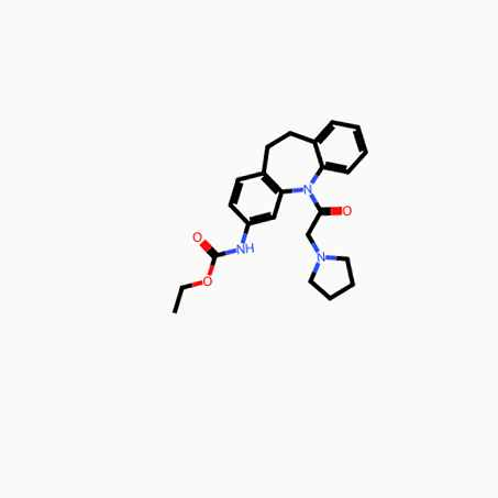 CCOC(=O)Nc1ccc2c(c1)N(C(=O)CN1CCCC1)c1ccccc1CC2